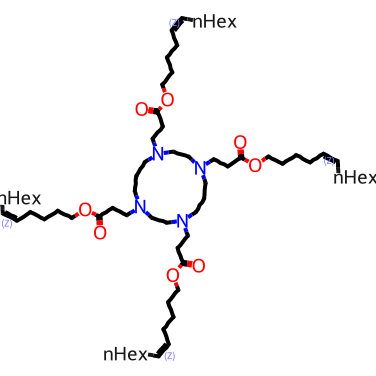 CCCCCC/C=C\CCCCOC(=O)CCN1CCCN(CCC(=O)OCCCC/C=C\CCCCCC)CCN(CCC(=O)OCCCC/C=C\CCCCCC)CCCN(CCC(=O)OCCCC/C=C\CCCCCC)CC1